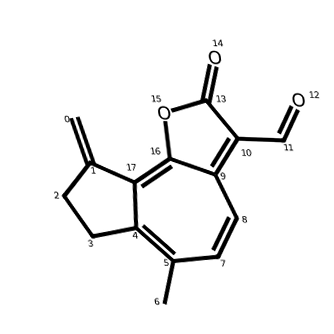 C=C1CCc2c(C)ccc3c(C=O)c(=O)oc-3c21